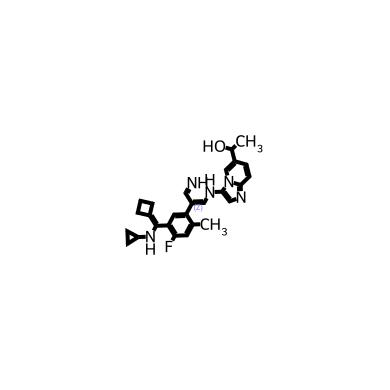 Cc1cc(F)c(C(NC2CC2)=C2CCC2)cc1/C(C=N)=C/Nc1cnc2ccc(C(C)O)cn12